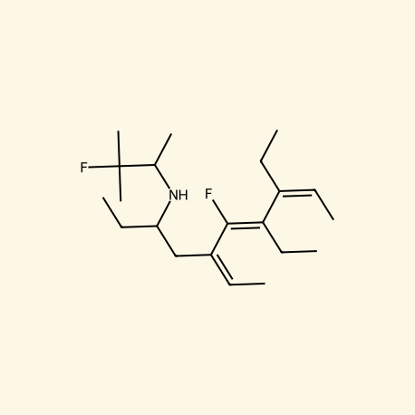 C\C=C(CC(CC)NC(C)C(C)(C)F)/C(F)=C(CC)/C(=C\C)CC